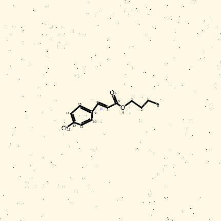 CCCCOC(=O)/C=C/c1ccc(Cl)cc1